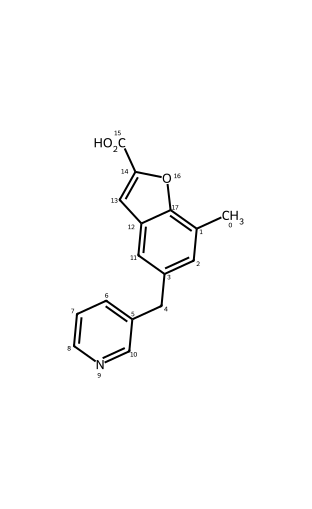 Cc1cc(Cc2cccnc2)cc2cc(C(=O)O)oc12